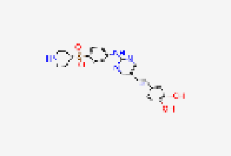 O=S(=O)(c1ccc(Nc2ncc(/C=C/c3ccc(O)c(O)c3)cn2)cc1)C1CCNCC1